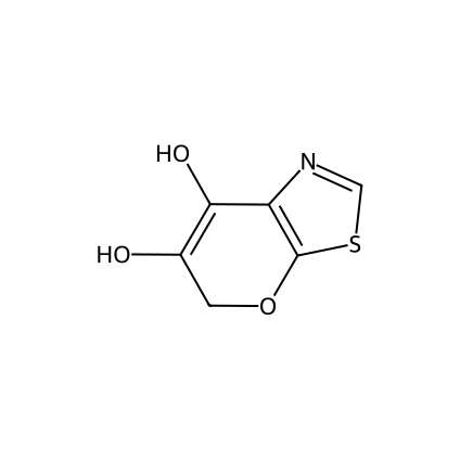 OC1=C(O)c2ncsc2OC1